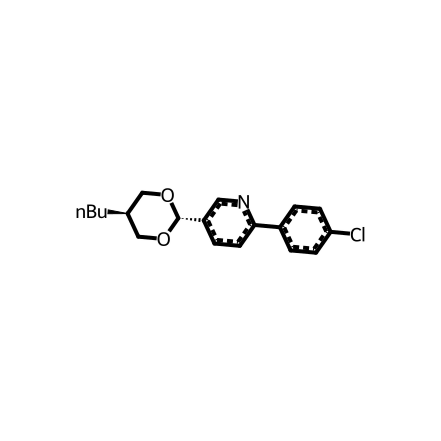 CCCC[C@H]1CO[C@H](c2ccc(-c3ccc(Cl)cc3)nc2)OC1